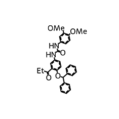 CCC(=O)c1cc(NC(=O)Nc2ccc(OC)c(OC)c2)ccc1OC(c1ccccc1)c1ccccc1